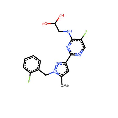 COc1cc(-c2ncc(F)c(NCC(O)O)n2)nn1Cc1ccccc1F